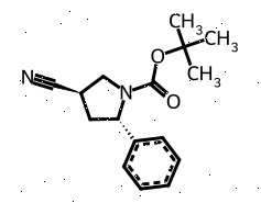 CC(C)(C)OC(=O)N1C[C@H](C#N)C[C@H]1c1ccccc1